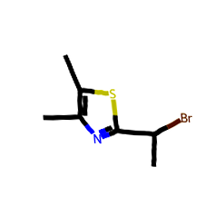 Cc1nc(C(C)Br)sc1C